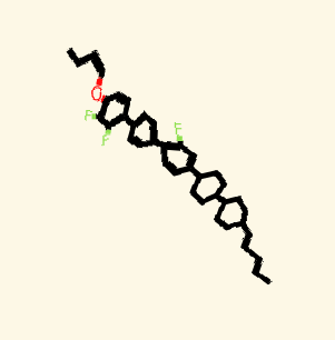 CC/C=C\Oc1ccc(-c2ccc(-c3ccc(C4CCC(C5CCC(CCCCC)CC5)CC4)cc3F)cc2)c(F)c1F